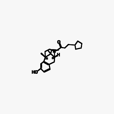 CN1CC[C@@]2(C)c3cc(O)ccc3C[C@@H]1C2(C)CCC(=O)CCC1CCCC1